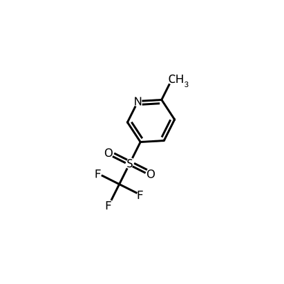 Cc1ccc(S(=O)(=O)C(F)(F)F)cn1